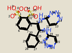 O=S(=O)(O)c1cccc(C(Nc2ccnnn2)=C(Nc2ccnnn2)c2ccccc2)c1S(=O)(=O)O